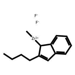 CCCCC1=Cc2ccccc2[CH]1[Zr+2][CH3].[F-].[F-]